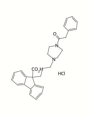 Cl.O=C(Cc1ccccc1)N1CCN(CCCC2(C(=O)O)c3ccccc3-c3ccccc32)CC1